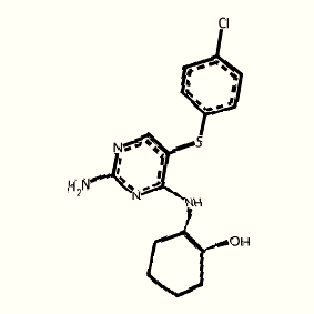 Nc1ncc(Sc2ccc(Cl)cc2)c(N[C@@H]2CCCC[C@@H]2O)n1